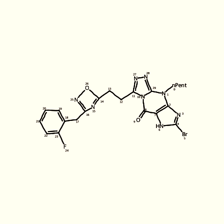 CCCCCn1c2nc(Br)[nH]c2c(=O)n2c(CCc3nc(Cc4ccccc4F)no3)nnc12